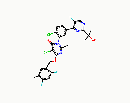 Cc1cc(COc2nc(C)n(-c3cc(-c4nc(C(C)(C)O)ncc4F)ccc3Cl)c(=O)c2Cl)c(F)cc1F